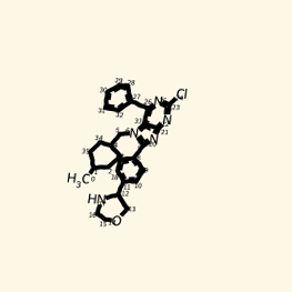 CC1CCC(Cn2c(-c3ccc(C4COCCN4)cc3)nc3nc(Cl)nc(-c4ccccc4)c32)CC1